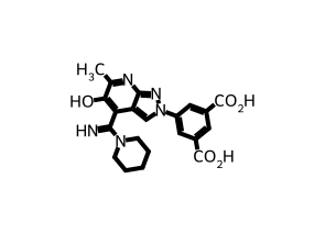 Cc1nc2nn(-c3cc(C(=O)O)cc(C(=O)O)c3)cc2c(C(=N)N2CCCCC2)c1O